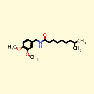 COc1ccc(CNC(=O)CCCCCCC(C)C)cc1OC